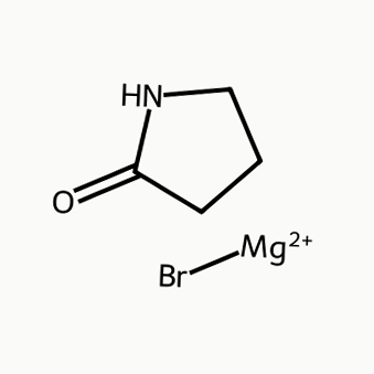 O=C1CCCN1.[Mg+2][Br]